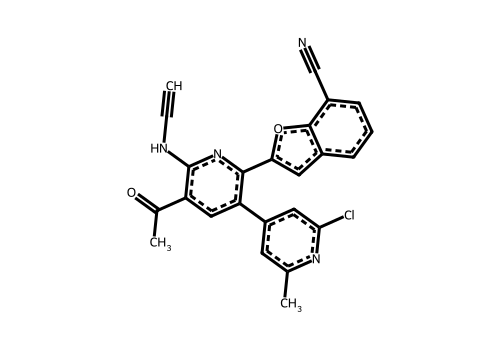 C#CNc1nc(-c2cc3cccc(C#N)c3o2)c(-c2cc(C)nc(Cl)c2)cc1C(C)=O